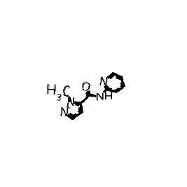 Cn1nccc1C(=O)Nc1ccccn1